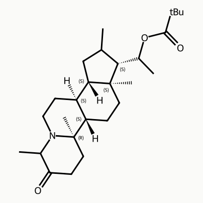 CC1C[C@H]2[C@@H]3CCN4C(C)C(=O)CC[C@]4(C)[C@H]3CC[C@]2(C)[C@H]1C(C)OC(=O)C(C)(C)C